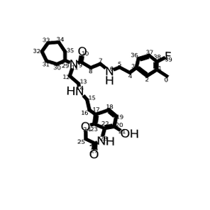 Cc1cc(CCNCCC(=O)N(CCNCCc2ccc(O)c3c2OCC(=O)N3)C2CCCCCC2)ccc1F